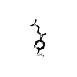 CN(C)CCN(C)c1ccc(N)nc1